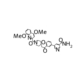 COc1cc(C(=O)N2CCC3(CC2)CC(=O)c2cc(-c4cncc(C(N)=O)c4)ccc2O3)nc2c(OC)cccc12